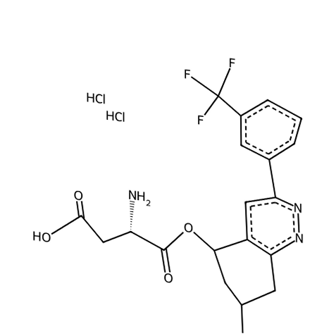 CC1Cc2nnc(-c3cccc(C(F)(F)F)c3)cc2C(OC(=O)[C@@H](N)CC(=O)O)C1.Cl.Cl